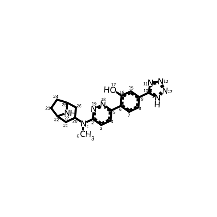 CN(c1ccc(-c2ccc(-c3nnn[nH]3)cc2O)nn1)C1CC2CCC(C1)N2